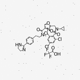 CN(CCc1ccc(C2=NCCN2)cc1)C(=O)c1coc(CN(C2CC2)S(=O)(=O)c2c(Cl)cc(Cl)cc2Cl)n1.O=C(O)C(F)(F)F